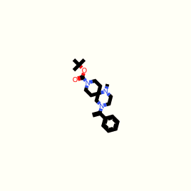 C=C(c1ccccc1)N1CCN(C)C2(CCN(C(=O)OC(C)(C)C)CC2)C1